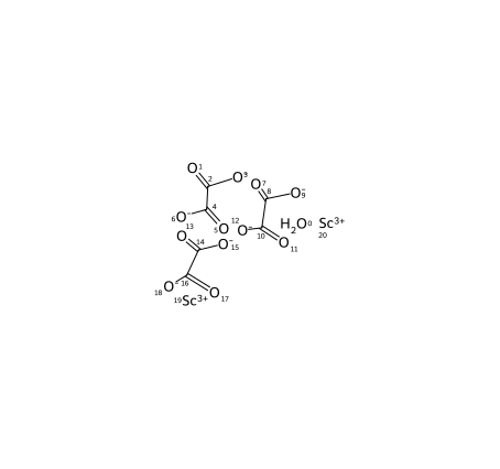 O.O=C([O-])C(=O)[O-].O=C([O-])C(=O)[O-].O=C([O-])C(=O)[O-].[Sc+3].[Sc+3]